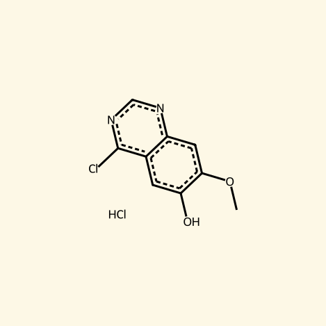 COc1cc2ncnc(Cl)c2cc1O.Cl